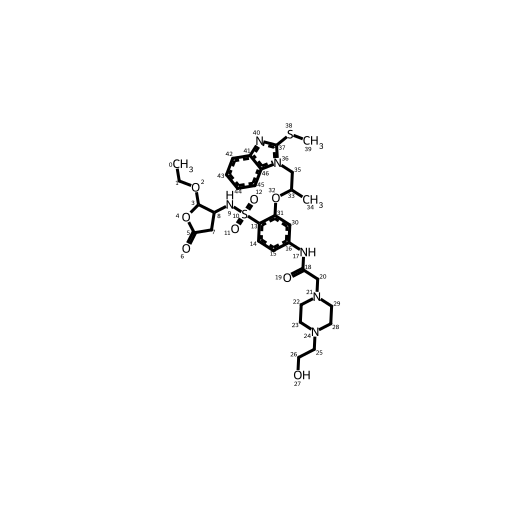 CCOC1OC(=O)CC1NS(=O)(=O)c1ccc(NC(=O)CN2CCN(CCO)CC2)cc1OC(C)Cn1c(SC)nc2ccccc21